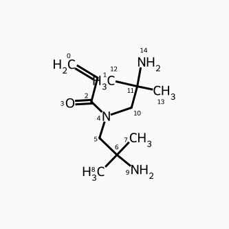 C=CC(=O)N(CC(C)(C)N)CC(C)(C)N